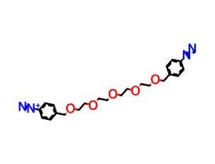 N#[N+]c1ccc(COCCOCCOCCOCCOCc2ccc([N+]#N)cc2)cc1